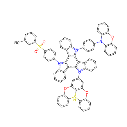 N#Cc1cccc(S(=O)(=O)c2ccc(-n3c4ccccc4c4c3c3c5ccccc5n(-c5ccc(N6c7ccccc7Oc7ccccc76)cc5)c3c3c5ccccc5n(-c5cc6c7c(c5)Oc5ccccc5[SH]7c5ccccc5O6)c34)cc2)c1